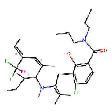 C/C=C(\C=C(\C)C(C(C)CC)N(C)C(Cc1c(Cl)ccc(C(=O)N(CCC)CCC)c1O)=C(C)C)C(F)(F)P